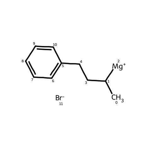 C[CH]([Mg+])CCc1ccccc1.[Br-]